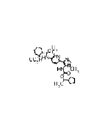 Cc1nc(-c2nnn(C)c2NC(=O)OC(C)C2CCCC2)ccc1NC(=O)[C@H]1CCCC[C@@H]1C(=O)O